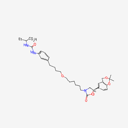 CCC(NC(=O)Nc1cccc(CCCCOCCCCCCN2C[C@@H](c3ccc4c(c3)COC(C)(C)O4)OC2=O)c1)C(=O)O